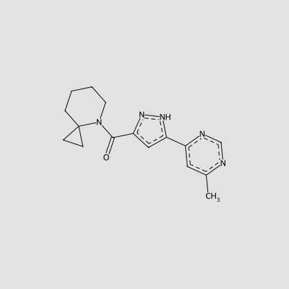 Cc1cc(-c2cc(C(=O)N3CCCCC34CC4)n[nH]2)ncn1